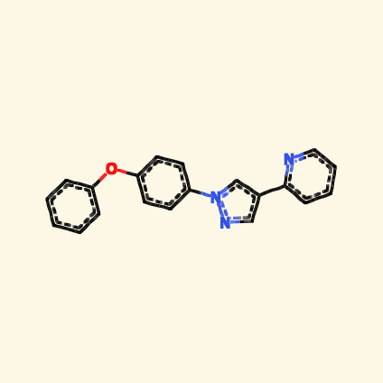 c1ccc(Oc2ccc(-n3cc(-c4ccccn4)cn3)cc2)cc1